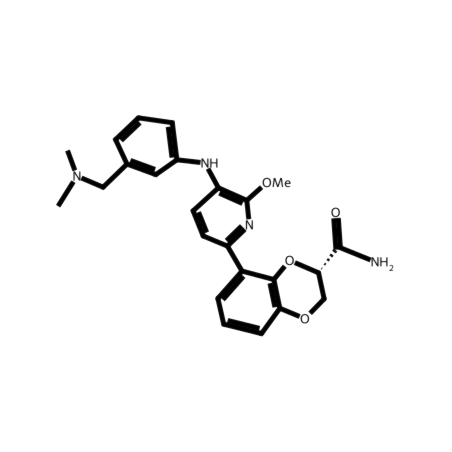 COc1nc(-c2cccc3c2O[C@H](C(N)=O)CO3)ccc1Nc1cccc(CN(C)C)c1